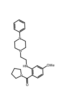 COc1ccc(C(=O)N2CCCC2)c(NCCN2CCN(c3ccccc3)CC2)c1